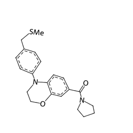 CSCc1ccc(N2CCOc3cc(C(=O)N4CCCC4)ccc32)cc1